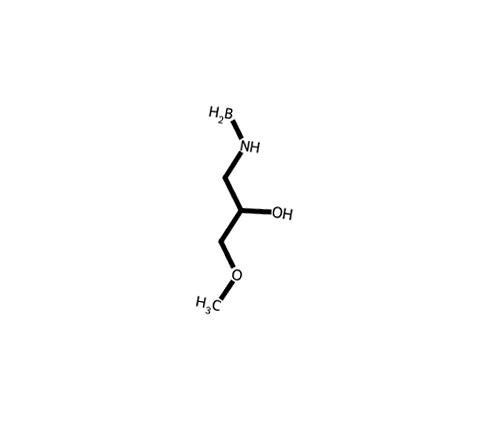 BNCC(O)COC